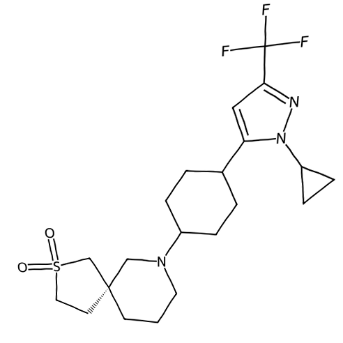 O=S1(=O)CC[C@]2(CCCN(C3CCC(c4cc(C(F)(F)F)nn4C4CC4)CC3)C2)C1